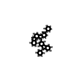 c1ccc(-c2ccc3c(n2)c2ccc4sc5ccccc5c4c2n3-c2ccc3c(c2)c2ccccc2n3-c2ccccc2)cc1